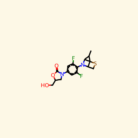 CC1C2N(c3c(F)cc(N4CC(CO)OC4=O)cc3F)C3CSC132